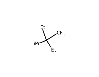 CCC(CC)(C(C)C)C(F)(F)F